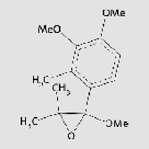 COc1ccc(C2(OC)OC2(C)C)c(C)c1OC